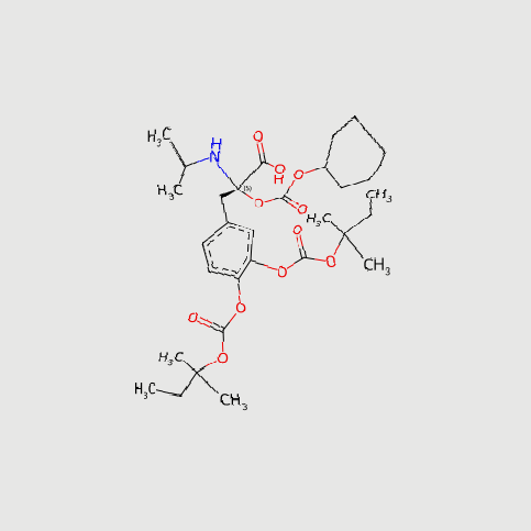 CCC(C)(C)OC(=O)Oc1ccc(C[C@](NC(C)C)(OC(=O)OC2CCCCC2)C(=O)O)cc1OC(=O)OC(C)(C)CC